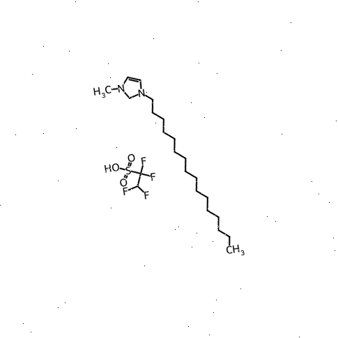 CCCCCCCCCCCCCCCCN1C=CN(C)C1.O=S(=O)(O)C(F)(F)C(F)F